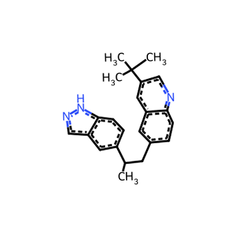 CC(Cc1ccc2ncc(C(C)(C)C)cc2c1)c1ccc2[nH]ncc2c1